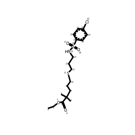 CCOC(=O)C(C)(C)CCCSCCCNS(=O)(=O)c1ccc(Cl)cc1